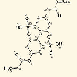 C=CC(=O)Oc1ccc(-c2ccc(OC(=O)C=C)cc2S(=O)(=O)O)c(S(=O)(=O)O)c1